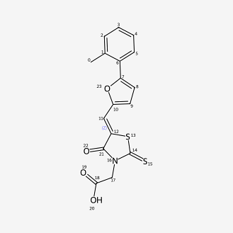 Cc1ccccc1-c1ccc(/C=C2\SC(=S)N(CC(=O)O)C2=O)o1